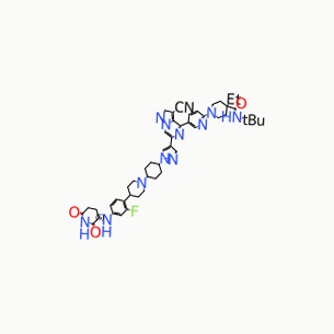 CCC1(C(=O)NC(C)(C)C)CCN(c2ccc(-c3nc(-c4cnn([C@H]5CC[C@H](N6CCC(c7ccc(N[C@H]8CCC(=O)NC8=O)cc7F)CC6)CC5)c4)cn4ncc(C#N)c34)cn2)CC1